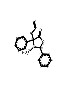 C=CCC1(c2ccccc2)C(=O)OC(c2ccccc2)N1C(=O)O